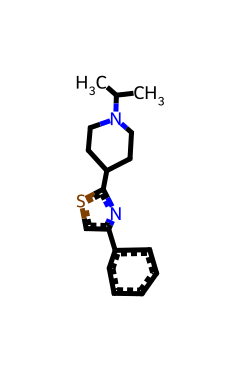 CC(C)N1CCC(c2nc(-c3ccccc3)cs2)CC1